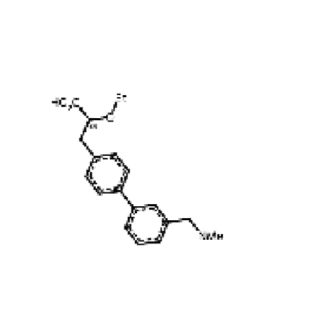 CCO[C@@H](Cc1ccc(-c2cccc(CNC)c2)cc1)C(=O)O